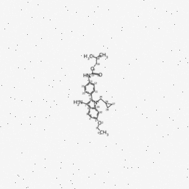 CCOc1ccc2c(N)c(-c3ccc(NC(=O)OCC(C)C)cc3)n(CC3CC3)c2c1